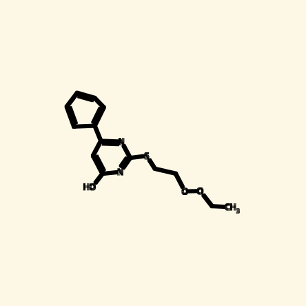 CCOOCCSc1nc(O)cc(-c2ccccc2)n1